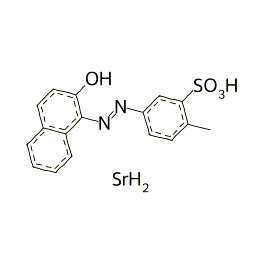 Cc1ccc(N=Nc2c(O)ccc3ccccc23)cc1S(=O)(=O)O.[SrH2]